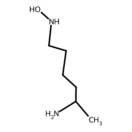 CC(N)CCCCNO